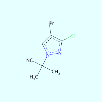 CC(C)c1cn(C(C)(C)C#N)nc1Cl